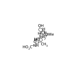 CO[C@@H]1C[C@@H]2C[C@H](O)CC[C@]2(C)[C@H]2C[C@H](O)[C@]3(C)[C@@H]([C@H](C)CCC(=O)NCC(=O)O)CC[C@H]3[C@H]12